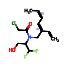 C=C/C(=C\C=C/C)CN(C(=O)CCl)C(CO)C(F)F